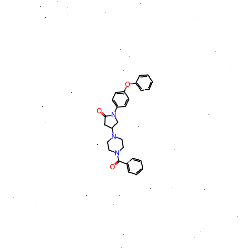 O=C(c1ccccc1)N1CCN(C2CC(=O)N(c3ccc(Oc4ccccc4)cc3)C2)CC1